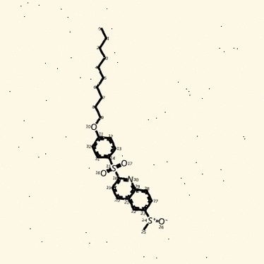 CCCCCCCCCCOc1ccc(S(=O)(=O)c2ccc3cc([S+](C)[O-])ccc3n2)cc1